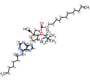 C#C[C@]1(COC(=O)OCCCCCCCCCCCC)O[C@@H](n2cnc3c(NC(=O)CCCCCC)nc(F)nc32)CC1O[Si](C)(C)C(C)(C)C